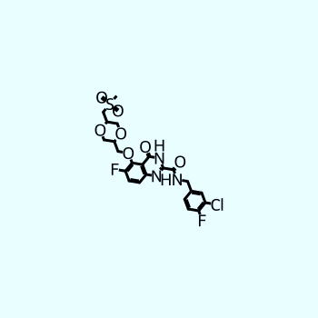 CS(=O)(=O)CC1COC(COc2c(F)ccc3nc(C(=O)NCc4ccc(F)c(Cl)c4)[nH]c(=O)c23)CO1